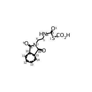 O=C(O)SC(=O)NCCN1C(=O)c2ccccc2C1=O